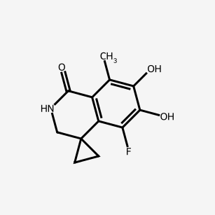 Cc1c(O)c(O)c(F)c2c1C(=O)NCC21CC1